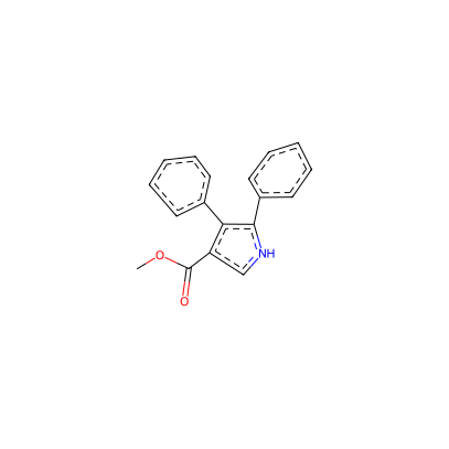 COC(=O)c1c[nH]c(-c2ccccc2)c1-c1ccccc1